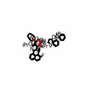 CC(C)Oc1nc(-c2cccc3ccc(F)c(C#C[Si](C(C)C)(C(C)C)C(C)C)c23)c(F)c2nc(OC[C@@H]3C[C@@H](O[Si](c4ccccc4)(c4ccccc4)C(C)(C)C)CN3C)nc(N3CC4CCC(C3)N4C(=O)OC(C)(C)C)c12